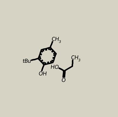 CCC(=O)O.Cc1ccc(O)c(C(C)(C)C)c1